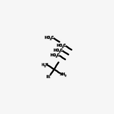 CC(=O)O.CC(=O)O.CC(=O)O.CC(=O)O.CCC(C)(N)N